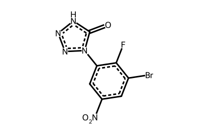 O=c1[nH]nnn1-c1cc([N+](=O)[O-])cc(Br)c1F